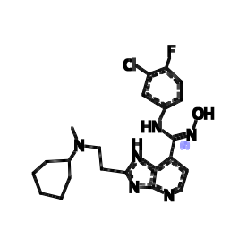 CN(CCc1nc2nccc(/C(=N/O)Nc3ccc(F)c(Cl)c3)c2[nH]1)C1CCCCC1